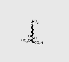 O=C(O)CC(NC(=O)CCCCCO[N+](=O)[O-])C(=O)O